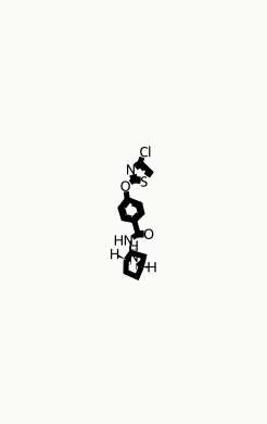 O=C(N[C@@H]1C[C@H]2CC[C@@H]1N2)c1ccc(Oc2nc(Cl)cs2)cc1